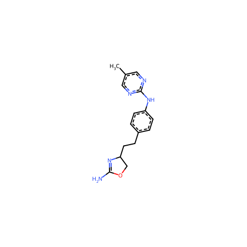 Cc1cnc(Nc2ccc(CCC3COC(N)=N3)cc2)nc1